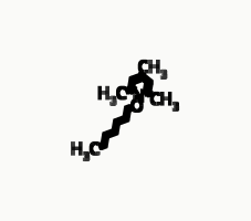 CCCCCCCO[n+]1c(C)cc(C)cc1C